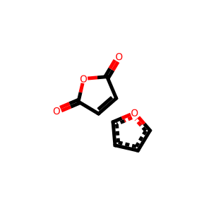 O=C1C=CC(=O)O1.c1ccoc1